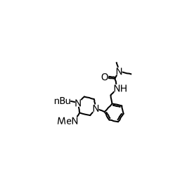 CCCCN1CCN(c2ccccc2CNC(=O)N(C)C)CC1NC